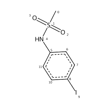 CS(=O)(=O)Nc1ccc(I)cc1